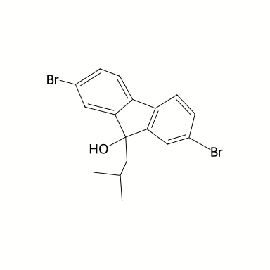 CC(C)CC1(O)c2cc(Br)ccc2-c2ccc(Br)cc21